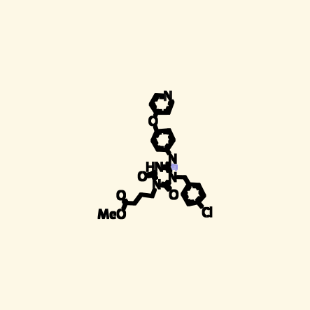 COC(=O)CCCn1c(=O)[nH]/c(=N\c2ccc(Oc3ccncc3)cc2)n(Cc2ccc(Cl)cc2)c1=O